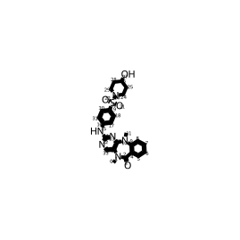 CN1C(=O)c2ccccc2N(C)c2nc(Nc3ccc(S(=O)(=O)N4CCC(O)CC4)cc3)ncc21